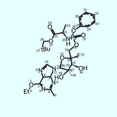 CCOC1=NC(C)=NC2C1N=CN2[C@@H]1O[C@](F)(COP(=O)(NC(C)C(=O)OCC(C)(C)C)Oc2ccccc2)[C@@H](O)[C@@]1(C)O